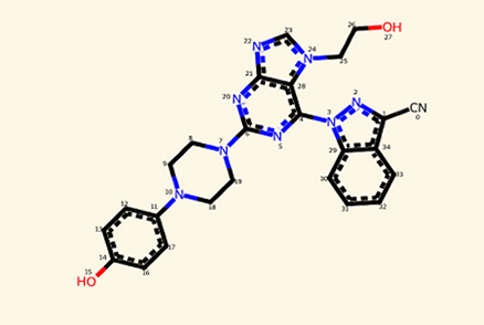 N#Cc1nn(-c2nc(N3CCN(c4ccc(O)cc4)CC3)nc3ncn(CCO)c23)c2ccccc12